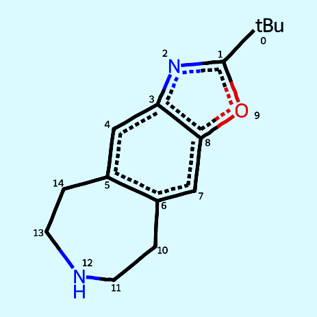 CC(C)(C)c1nc2cc3c(cc2o1)CCNCC3